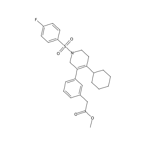 COC(=O)Cc1cccc(C2=C(C3CCCCC3)CCN(S(=O)(=O)c3ccc(F)cc3)C2)c1